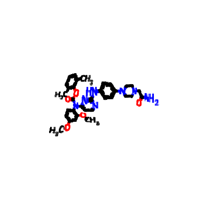 COc1ccc(N(C(=O)Oc2c(C)cccc2C)c2ccnc(Nc3ccc(N4CCN(CC(N)=O)CC4)cc3)n2)c(OC)c1